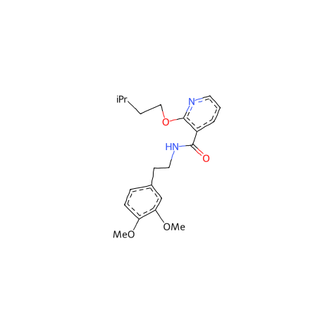 COc1ccc(CCNC(=O)c2cccnc2OCCC(C)C)cc1OC